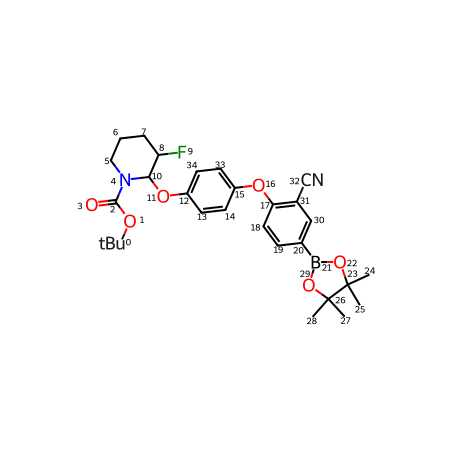 CC(C)(C)OC(=O)N1CCCC(F)C1Oc1ccc(Oc2ccc(B3OC(C)(C)C(C)(C)O3)cc2C#N)cc1